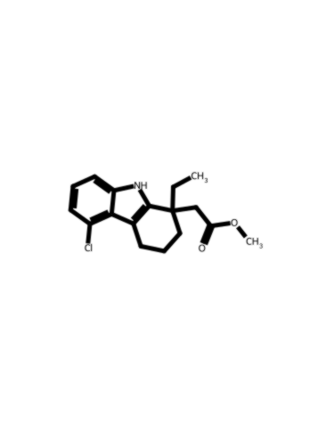 CCC1(CC(=O)OC)CCCc2c1[nH]c1cccc(Cl)c21